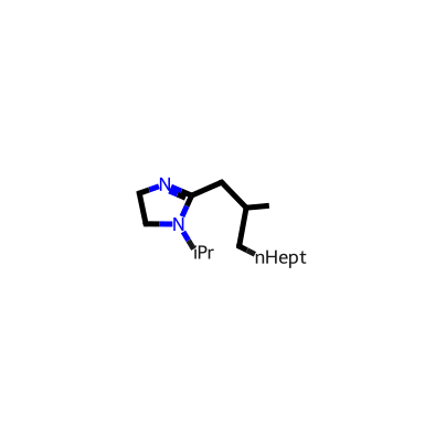 CCCCCCCCC(C)CC1=NCCN1C(C)C